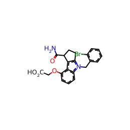 NC(=O)C1CCc2c1c1c(OCC(=O)O)cccc1n2Cc1ccccc1Br